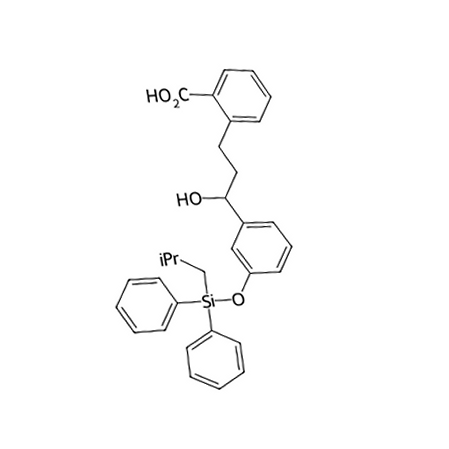 CC(C)C[Si](Oc1cccc(C(O)CCc2ccccc2C(=O)O)c1)(c1ccccc1)c1ccccc1